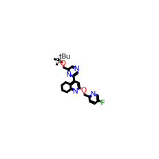 CC(C)(C)[Si](C)(C)OCc1cncc(-c2cc(OCc3ccc(F)cn3)nc3c2CCCC3)n1